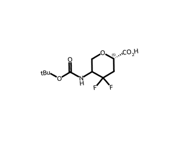 CC(C)(C)OC(=O)NC1CO[C@H](C(=O)O)CC1(F)F